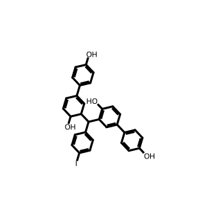 Oc1ccc(C2=CC(C(c3ccc(I)cc3)c3cc(-c4ccc(O)cc4)ccc3O)C(O)C=C2)cc1